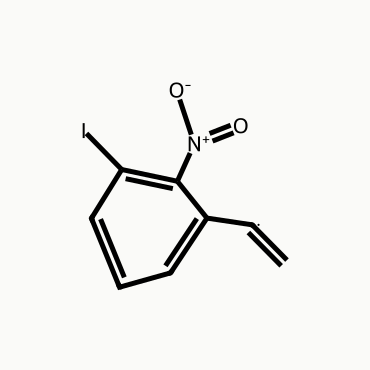 C=[C]c1cccc(I)c1[N+](=O)[O-]